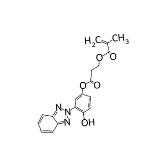 C=C(C)C(=O)OCCC(=O)Oc1ccc(O)c(-n2nc3ccccc3n2)c1